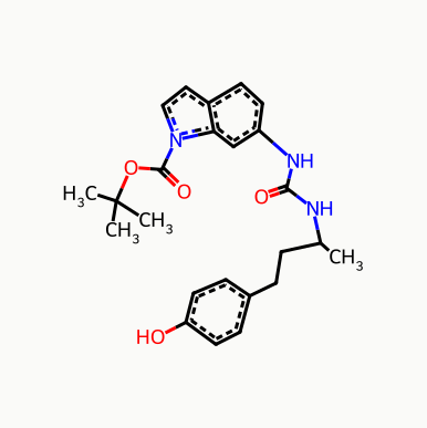 CC(CCc1ccc(O)cc1)NC(=O)Nc1ccc2ccn(C(=O)OC(C)(C)C)c2c1